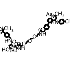 CC(=O)N1c2ccc(-c3ccc(CC(=O)NCCOCCOCCOCC(=O)N[C@H](C(=O)N4C[C@@H](O)C[C@H]4C(=O)NCc4ccc(-c5scnc5C)cc4)C(C)(C)C)cc3)cc2[C@H](Nc2ccc(Cl)cc2)C[C@@H]1C